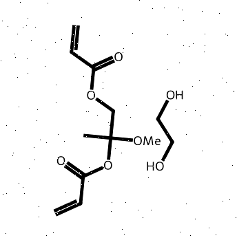 C=CC(=O)OCC(C)(OC)OC(=O)C=C.OCCO